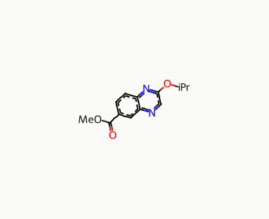 COC(=O)c1ccc2nc(OC(C)C)cnc2c1